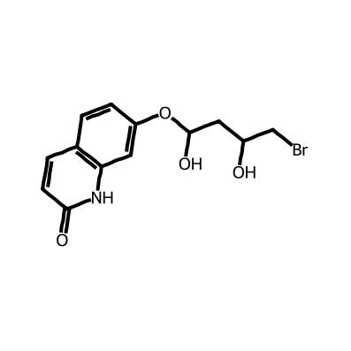 O=c1ccc2ccc(OC(O)CC(O)CBr)cc2[nH]1